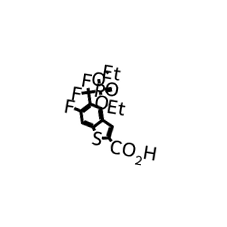 CCOP(=O)(OCC)C(F)(F)c1cc2cc(C(=O)O)sc2cc1F